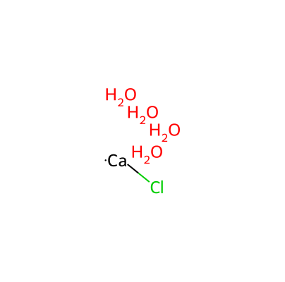 O.O.O.O.[Cl][Ca]